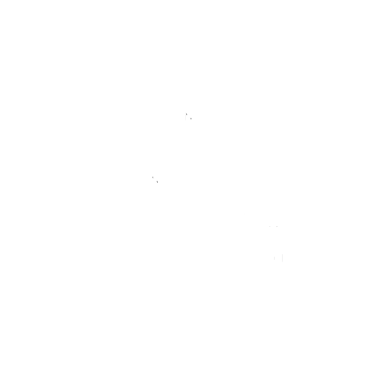 CN1CCN(c2cccc(F)c2)c2ccc(OC(F)(F)F)cc2C1